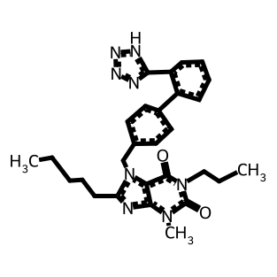 CCCCCc1nc2c(c(=O)n(CCC)c(=O)n2C)n1Cc1ccc(-c2ccccc2-c2nnn[nH]2)cc1